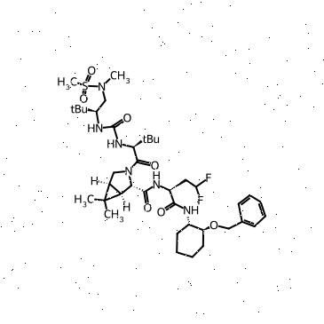 CN(C[C@@H](NC(=O)N[C@H](C(=O)N1C[C@H]2[C@@H]([C@H]1C(=O)N[C@@H](CC(F)F)C(=O)N[C@H]1CCCC[C@@H]1OCc1ccccc1)C2(C)C)C(C)(C)C)C(C)(C)C)S(C)(=O)=O